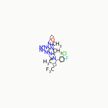 Cc1nc2c(N3C[C@@H](C)N(C(c4ccc(F)c(Cl)c4)C4CC(C(F)(F)F)C4)C[C@@H]3C)nc3nncn3c2n1CC1CCCO1